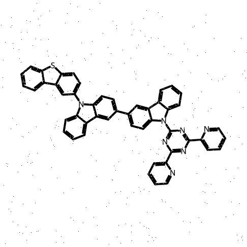 c1ccc(-c2nc(-c3ccccn3)nc(-n3c4ccccc4c4cc(-c5ccc6c(c5)c5ccccc5n6-c5ccc6sc7ccccc7c6c5)ccc43)n2)nc1